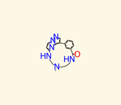 CN1CCCNC(=O)c2cccc(c2)-c2cnn3ccc(nc23)NCC1